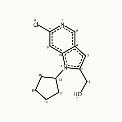 OCc1cc2cnc(Cl)cc2n1C1CCCC1